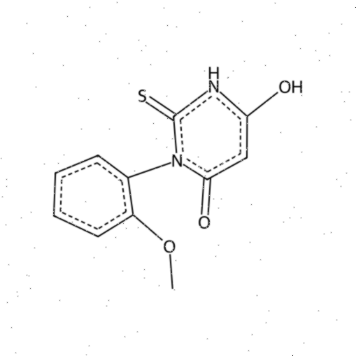 COc1ccccc1-n1c(=O)cc(O)[nH]c1=S